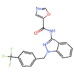 O=C(Nc1nn(Cc2ccc(C(F)(F)F)cc2)c2ccccc12)c1cnco1